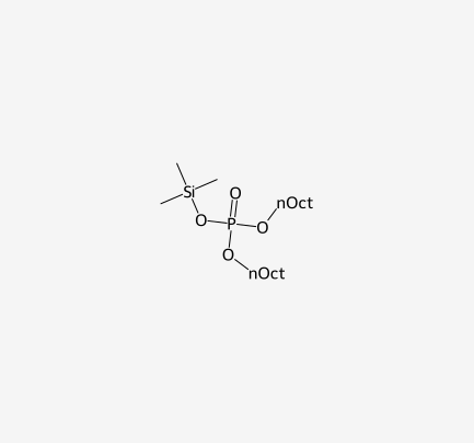 CCCCCCCCOP(=O)(OCCCCCCCC)O[Si](C)(C)C